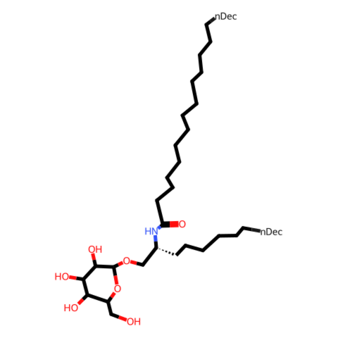 CCCCCCCCCCCCCCCCCCCCCCCC(=O)N[C@H](CCCCCCCCCCCCCCCC)COC1OC(CO)C(O)C(O)C1O